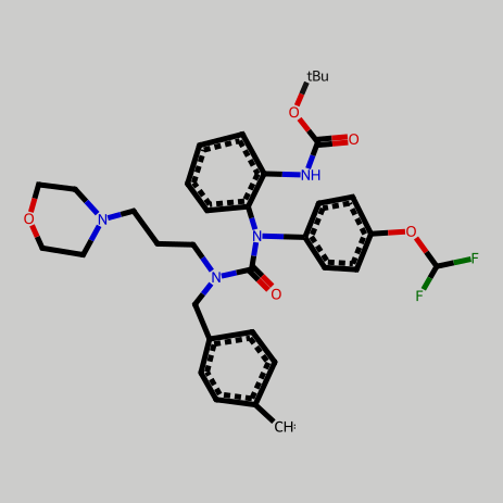 [CH]c1ccc(CN(CCCN2CCOCC2)C(=O)N(c2ccc(OC(F)F)cc2)c2ccccc2NC(=O)OC(C)(C)C)cc1